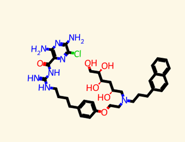 N=C(NCCCCc1ccc(OCCN(CCCc2ccc3ccccc3c2)C[C@H](O)C[C@H](O)[C@H](O)CO)cc1)NC(=O)c1nc(Cl)c(N)nc1N